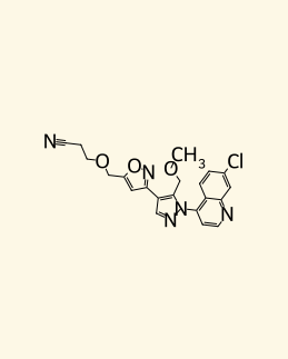 COCc1c(-c2cc(COCCC#N)on2)cnn1-c1ccnc2cc(Cl)ccc12